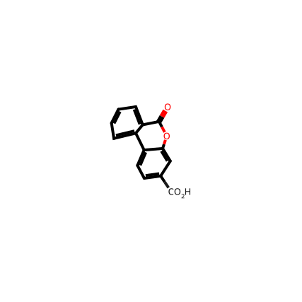 O=C(O)c1ccc2c(c1)oc(=O)c1ccccc12